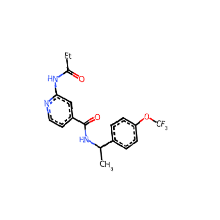 CCC(=O)Nc1cc(C(=O)NC(C)c2ccc(OC(F)(F)F)cc2)ccn1